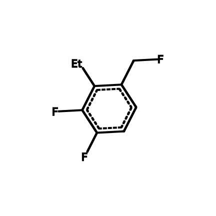 [CH2]Cc1c(CF)ccc(F)c1F